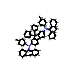 Cc1ccc(N(c2ccc3c(c2)C(c2ccccc2)(c2ccccc2)c2cc(N(c4ccc(C)cc4)c4c5ccccc5cc5ccccc45)ccc2-3)c2c3ccccc3cc3ccccc23)cc1